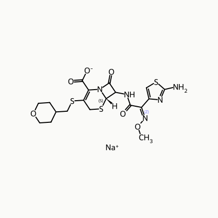 CO/N=C(\C(=O)NC1C(=O)N2C(C(=O)[O-])=C(SCC3CCOCC3)CS[C@@H]12)c1csc(N)n1.[Na+]